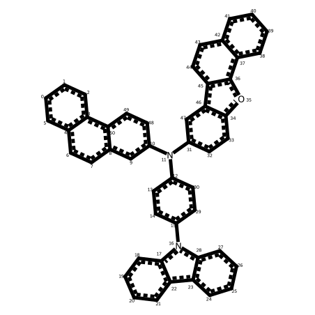 c1ccc2c(c1)ccc1cc(N(c3ccc(-n4c5ccccc5c5ccccc54)cc3)c3ccc4oc5c6ccccc6ccc5c4c3)ccc12